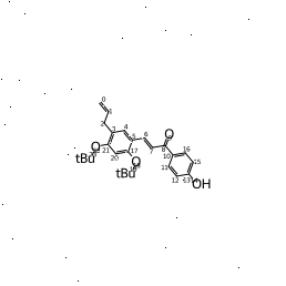 C=CCc1cc(C=CC(=O)c2ccc(O)cc2)c(OC(C)(C)C)cc1OC(C)(C)C